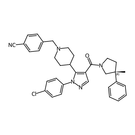 C[C@]1(c2ccccc2)CCN(C(=O)c2cnn(-c3ccc(Cl)cc3)c2C2CCN(Cc3ccc(C#N)cc3)CC2)C1